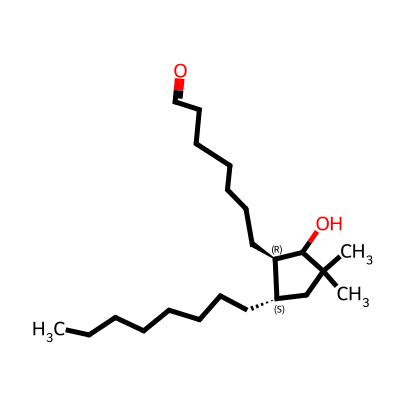 CCCCCCCC[C@H]1CC(C)(C)C(O)[C@@H]1CCCCCCC=O